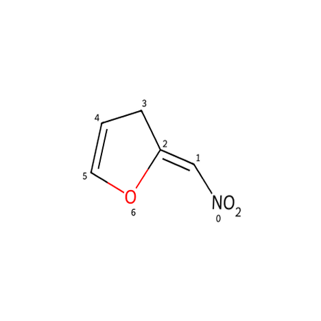 O=[N+]([O-])C=C1CC=CO1